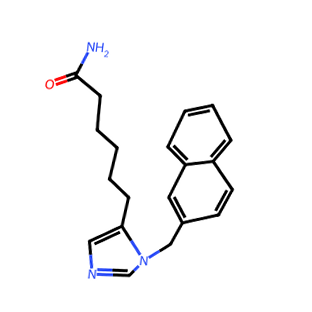 NC(=O)CCCCCc1cncn1Cc1ccc2ccccc2c1